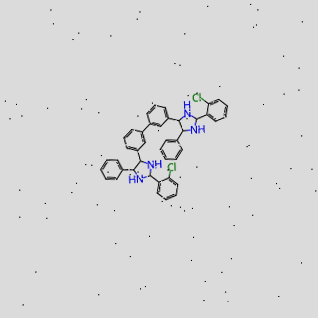 Clc1ccccc1C1NC(c2ccccc2)C(c2cccc(-c3cccc(C4NC(c5ccccc5Cl)NC4c4ccccc4)c3)c2)N1